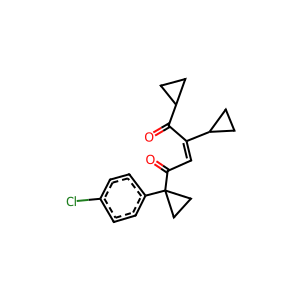 O=C(C(=CC(=O)C1(c2ccc(Cl)cc2)CC1)C1CC1)C1CC1